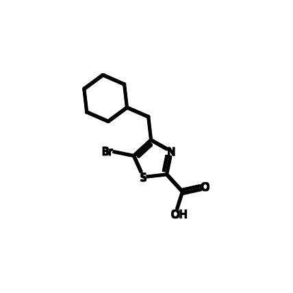 O=C(O)c1nc(CC2CCCCC2)c(Br)s1